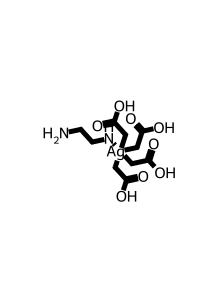 NCC[NH][Ag]([CH2]C(=O)O)([CH2]C(=O)O)([CH2]C(=O)O)[CH2]C(=O)O